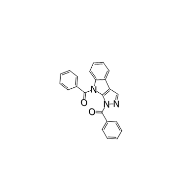 O=C(c1ccccc1)n1ncc2c3ccccc3n(C(=O)c3ccccc3)c21